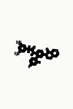 Cc1cc(F)ccc1-c1cc(N2CCN3CCOCC3C2=O)ncc1N(C)C(=O)C(C)(C)c1cc(C(F)(F)F)cc(C(F)(F)F)c1